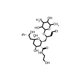 CC/C=C/[C@@H](C[C@@H]1O[C@](O)(C[C@@H](O)C(C)C)C[C@H](O)[C@H]1C(=O)NCCO)OC1OC(C)C(O)C(N)C1O